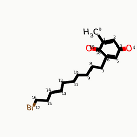 CC1=CC(=O)C=C(CCCCCCCCCCBr)C1=O